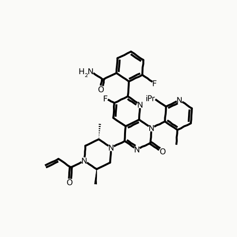 C=CC(=O)N1C[C@H](C)N(c2nc(=O)n(-c3c(C)ccnc3C(C)C)c3nc(-c4c(F)cccc4C(N)=O)c(F)cc23)C[C@H]1C